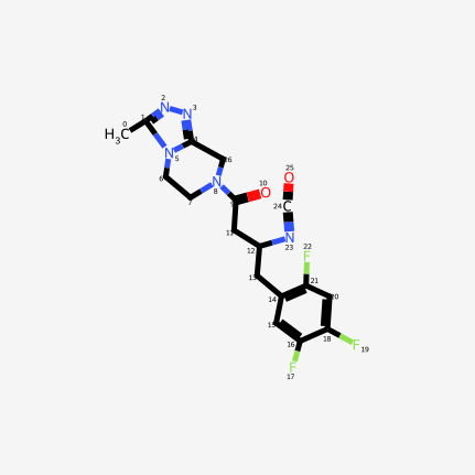 Cc1nnc2n1CCN(C(=O)CC(Cc1cc(F)c(F)cc1F)N=C=O)C2